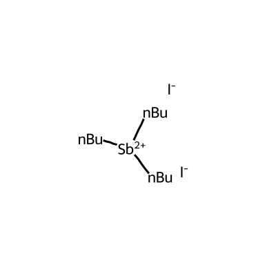 CCC[CH2][Sb+2]([CH2]CCC)[CH2]CCC.[I-].[I-]